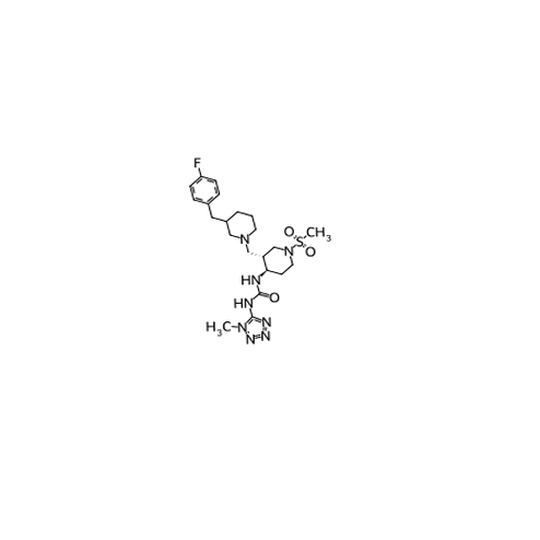 Cn1nnnc1NC(=O)N[C@@H]1CCN(S(C)(=O)=O)C[C@H]1CN1CCCC(Cc2ccc(F)cc2)C1